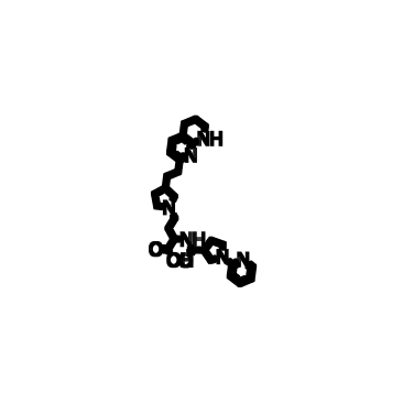 O=C(NC(CCN1CCC(CCc2ccc3c(n2)NCCC3)C1)C(=O)O)C1CCN(c2ccccn2)C1